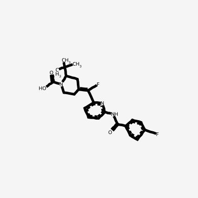 CC(C)(C)C1CC(=C(F)c2cccc(NC(=O)c3ccc(F)cc3)n2)CCN1C(=O)O